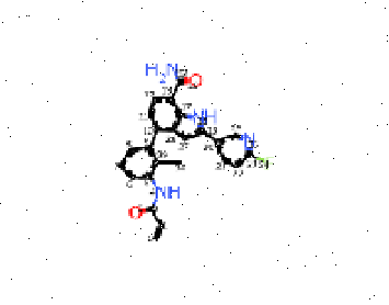 C=CC(=O)Nc1cccc(-c2ccc(C(N)=O)c3[nH]c(-c4ccc(F)nc4)cc23)c1C